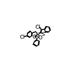 O=S(=O)(c1ccccc1)N(Cc1ccc(Cl)cc1)c1sc2ccccc2c1Cl